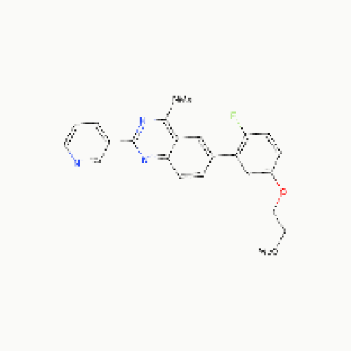 CNc1nc(-c2cccnc2)nc2ccc(-c3cc(OCCOC)ccc3F)cc12